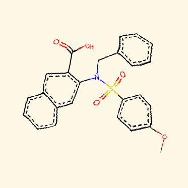 COc1ccc(S(=O)(=O)N(Cc2ccccc2)c2cc3ccccc3cc2C(=O)O)cc1